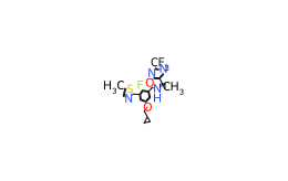 Cc1cnc(-c2cc(OCC3CC3)cc(C(=O)N[C@H](C)c3cnc(C(F)(F)F)nc3)c2F)s1